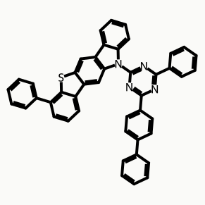 c1ccc(-c2ccc(-c3nc(-c4ccccc4)nc(-n4c5ccccc5c5cc6sc7c(-c8ccccc8)cccc7c6cc54)n3)cc2)cc1